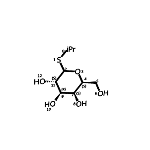 CC(C)SC1O[C@@H](CO)[C@@H](O)[C@@H](O)[C@@H]1O